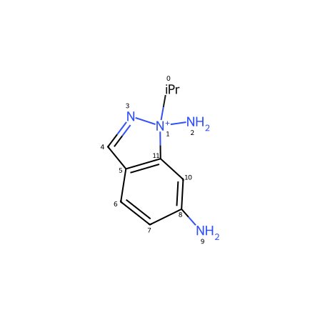 CC(C)[N+]1(N)N=Cc2ccc(N)cc21